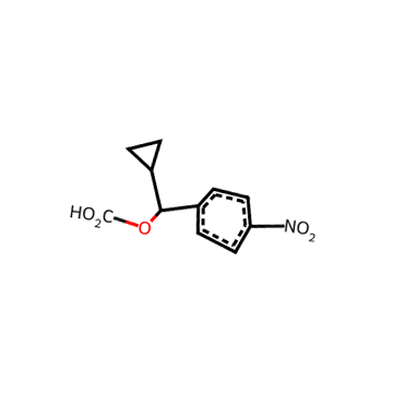 O=C(O)OC(c1ccc([N+](=O)[O-])cc1)C1CC1